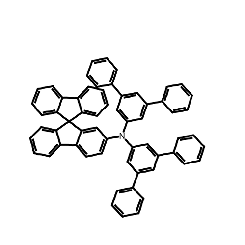 c1ccc(-c2cc(-c3ccccc3)cc(N(c3cc(-c4ccccc4)cc(-c4ccccc4)c3)c3ccc4c(c3)C3(c5ccccc5-c5ccccc53)c3ccccc3-4)c2)cc1